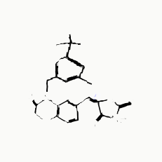 Cc1cc(CN2C(=O)COc3ccc(/C=C4/SC(=S)NC4=O)cc32)cc(C(C)(C)C)c1